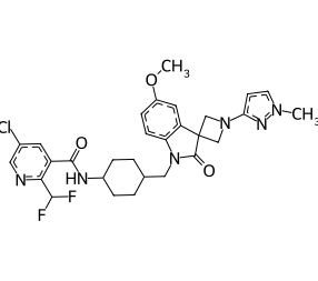 COc1ccc2c(c1)C1(CN(c3ccn(C)n3)C1)C(=O)N2CC1CCC(NC(=O)c2cc(Cl)cnc2C(F)F)CC1